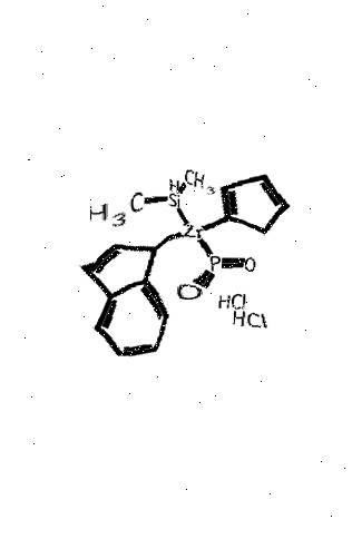 C[SiH](C)[Zr]([C]1=CC=CC1)([CH]1C=Cc2ccccc21)[P](=O)=O.Cl.Cl